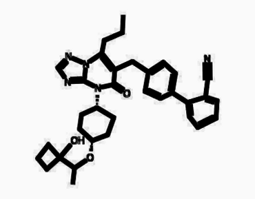 CCCc1c(Cc2ccc(-c3ccccc3C#N)cc2)c(=O)n([C@H]2CC[C@@H](OC(C)C3(O)CCC3)CC2)c2ncnn12